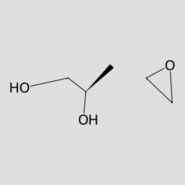 C1CO1.C[C@@H](O)CO